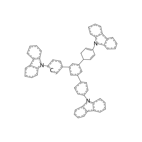 C1=CC(c2cc(-c3ccc(-n4c5ccccc5c5ccccc54)cc3)cc(-c3ccc(-n4c5ccccc5c5ccccc54)cc3)c2)CC=C1n1c2ccccc2c2ccccc21